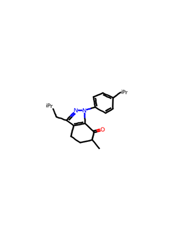 CC(C)Cc1nn(-c2ccc(C(C)C)cc2)c2c1CCC(C)C2=O